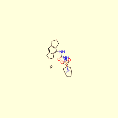 CN1CC(N2C3CCC2CC(S(=O)(=O)NC(=O)Nc2c4c(cc5c2CCC5)CCC4)C3)C1.[K]